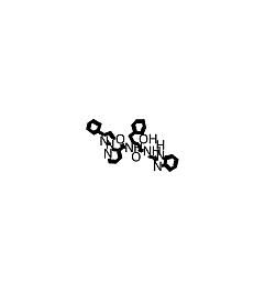 O=C(NC(Cc1ccccc1)C(O)C(=O)NCc1nc2ccccc2[nH]1)c1cccnc1-n1ccc(-c2ccccc2)n1